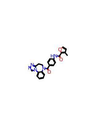 Cc1ccoc1C(=O)Nc1ccc(C(=O)N2CCc3nncn3-c3ccccc32)cc1